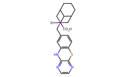 CCC(C(=O)O)C1C2CCCC1CN(Cc1ccc3c(c1)Nc1nccnc1S3)C2